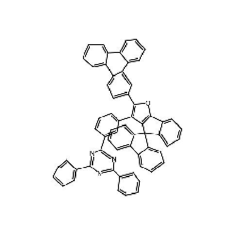 c1ccc(-c2nc(-c3ccccc3)nc(-c3cccc(-c4c(-c5ccc6c7ccccc7c7ccccc7c6c5)oc5c4C4(c6ccccc6-c6ccccc64)c4ccccc4-5)c3)n2)cc1